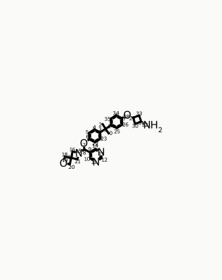 CC(C)(c1ccc(OC(c2cncnc2)N2CC3(COC3)C2)cc1)c1ccc(O[C@H]2C[C@@H](N)C2)cc1